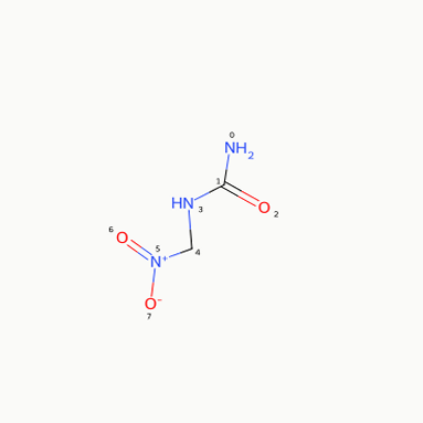 NC(=O)NC[N+](=O)[O-]